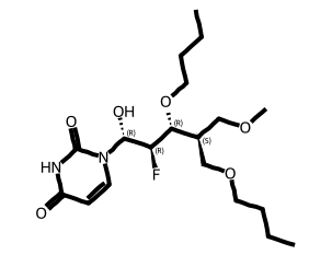 CCCCOC[C@H](COC)[C@@H](OCCCC)[C@@H](F)[C@@H](O)n1ccc(=O)[nH]c1=O